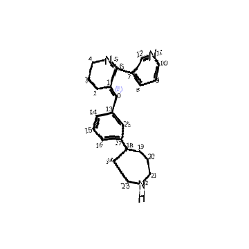 C(=C1/CCCN=C1c1cccnc1)/c1cccc(C2CCCNCC2)c1